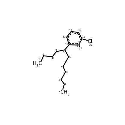 CCCCCCC(CCCC)c1cccc(Cl)n1